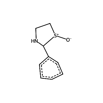 [O-][S+]1CCNC1c1ccccc1